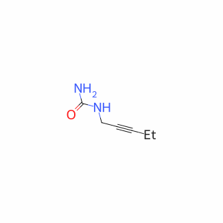 CCC#CCNC(N)=O